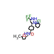 Cc1ccc(CNC(=O)c2ccc(/C(=C/C(=N)C(F)(F)F)Nc3ccccc3Cl)cc2)o1